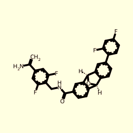 C=C(N)c1cc(F)c(CNC(=O)c2ccc3c(c2)[C@@H]2O[C@H]3c3ccc(-c4ccc(F)cc4F)cc32)c(F)c1